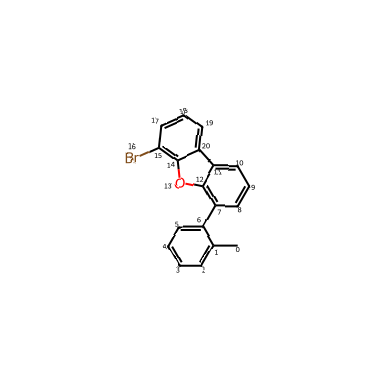 Cc1ccccc1-c1cccc2c1oc1c(Br)cccc12